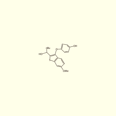 CCCCC(O)c1sc2cc(OC)ccc2c1Oc1ccc(O)cc1